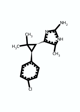 Cc1[nH]c(N)nc1[C@@H]1[C@@H](c2ccc(Cl)cc2)C1(C)C